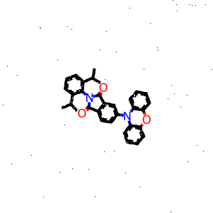 CC(C)c1cccc(C(C)C)c1N1C(=O)c2ccc(N3c4ccccc4Oc4ccccc43)cc2C1=O